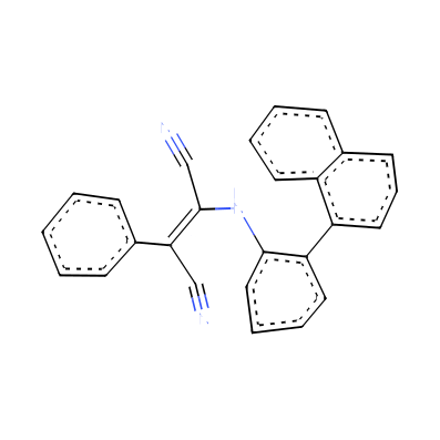 N#C/C(Nc1ccccc1-c1cccc2ccccc12)=C(/C#N)c1ccccc1